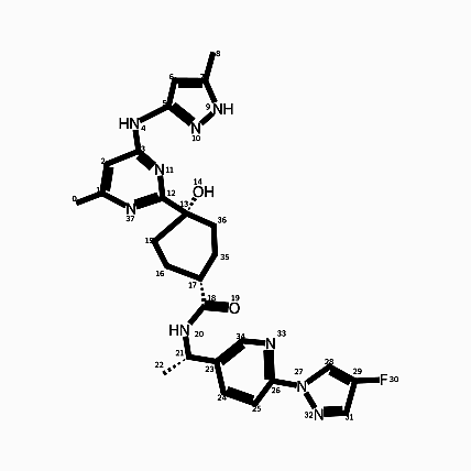 Cc1cc(Nc2cc(C)[nH]n2)nc([C@]2(O)CC[C@@H](C(=O)N[C@@H](C)c3ccc(-n4cc(F)cn4)nc3)CC2)n1